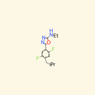 CCNc1nnc(-c2cc(F)c(CC(C)C)cc2F)o1